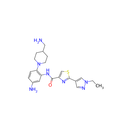 CCn1cc(-c2nc(C(=O)Nc3cc(N)ccc3N3CCC(CN)CC3)cs2)cn1